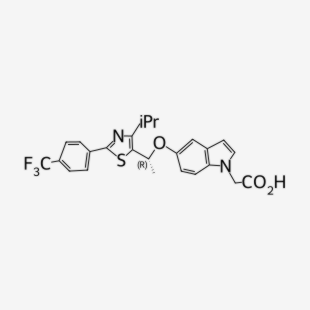 CC(C)c1nc(-c2ccc(C(F)(F)F)cc2)sc1[C@@H](C)Oc1ccc2c(ccn2CC(=O)O)c1